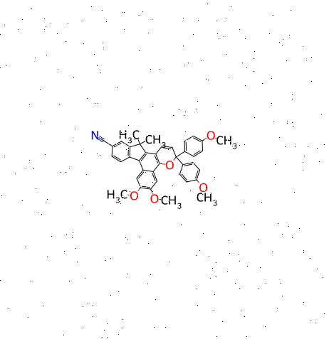 COc1ccc(C2(c3ccc(OC)cc3)C=Cc3c4c(c5cc(OC)c(OC)cc5c3O2)-c2ccc(C#N)cc2C4(C)C)cc1